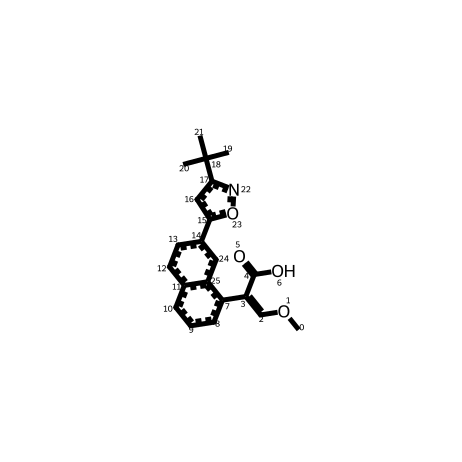 COC=C(C(=O)O)c1cccc2ccc(-c3cc(C(C)(C)C)no3)cc12